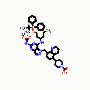 CCCC(CCO[Si](c1ccccc1)(c1ccccc1)C(C)(C)C)Nc1nc(NC(=O)OC)nc2cnn(Cc3ccc(C4CCN(C(=O)O)CC4)c4cccnc34)c12